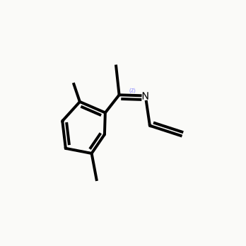 C=C/N=C(/C)c1cc(C)ccc1C